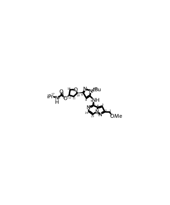 COCc1cc2c(Nc3cc([C@H]4C[C@@H](OC(=O)NC(C)C)CO4)nn3C(C)(C)C)nccn2n1